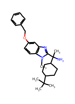 Cn1c(C(C)(N)C2CCC(C(C)(C)C)CC2)nc2cc(OCc3ccccc3)ccc21